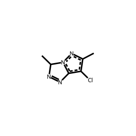 Cc1nn2c(c1Cl)N=NC2C